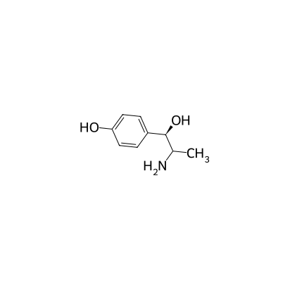 CC(N)[C@H](O)c1ccc(O)cc1